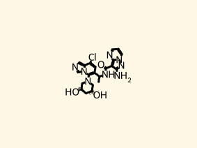 CC(NC(=O)c1c(N)nn2cccnc12)c1cc(Cl)c2cncn2c1N1C[C@H](O)C[C@H](O)C1